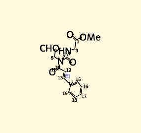 COC(=O)CNC(=O)N(C[C]=O)C(=O)/C=C/c1ccccc1